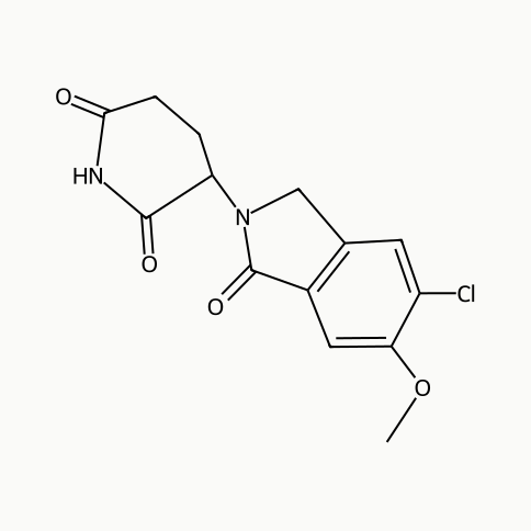 COc1cc2c(cc1Cl)CN(C1CCC(=O)NC1=O)C2=O